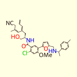 C=C/C=C(\C=C(\C)CC#N)C[C@H](CO)NC(=O)c1cc(-c2ccc(CNC(C)c3ccc(C)cc3)o2)c(OC)cc1Cl